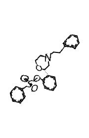 O=S(=O)(Oc1ccccc1[C@H]1CN(CCc2ccccc2)CCO1)c1ccccc1